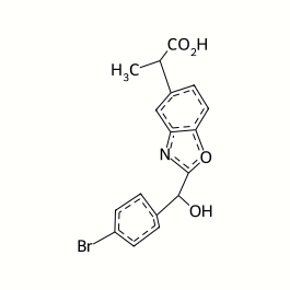 CC(C(=O)O)c1ccc2oc(C(O)c3ccc(Br)cc3)nc2c1